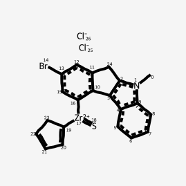 Cn1c2c(c3ccccc31)-c1c(cc(Br)c[c]1[Zr+2](=[S])[C]1=CC=CC1)C2.[Cl-].[Cl-]